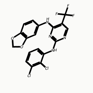 FC(F)(F)c1cnc(Nc2cccc(Cl)c2Cl)nc1Nc1ccc2c(c1)OCO2